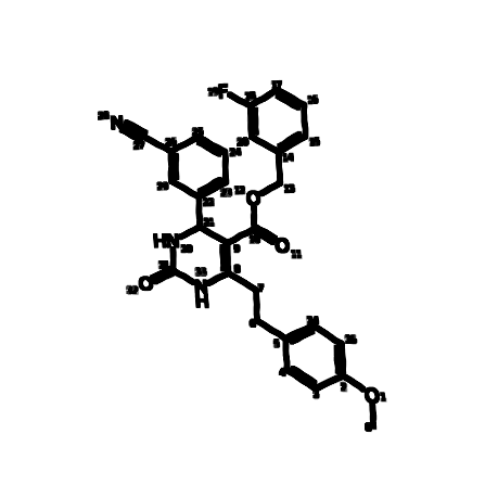 COc1ccc(CCC2=C(C(=O)OCc3cccc(F)c3)C(c3cccc(C#N)c3)NC(=O)N2)cc1